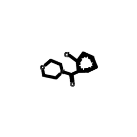 O=C(c1cc[c]cc1Cl)N1CCOCC1